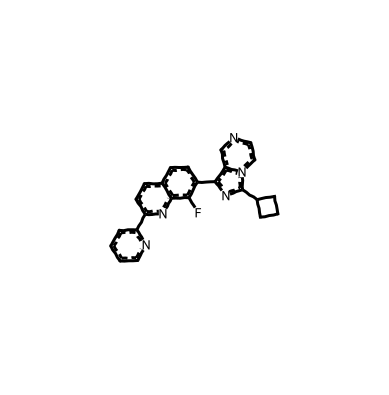 Fc1c(-c2nc(C3CCC3)n3ccncc23)ccc2ccc(-c3ccccn3)nc12